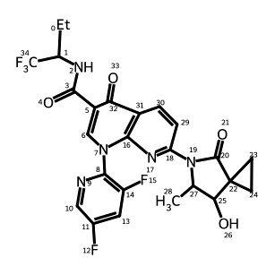 CCC(NC(=O)c1cn(-c2ncc(F)cc2F)c2nc(N3C(=O)C4(CC4)C(O)C3C)ccc2c1=O)C(F)(F)F